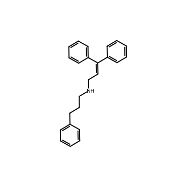 C(CNCCCc1ccccc1)=C(c1ccccc1)c1ccccc1